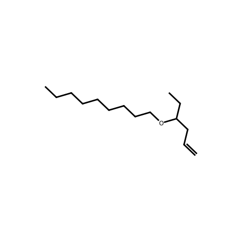 C=CCC(CC)OCCCCCCCCC